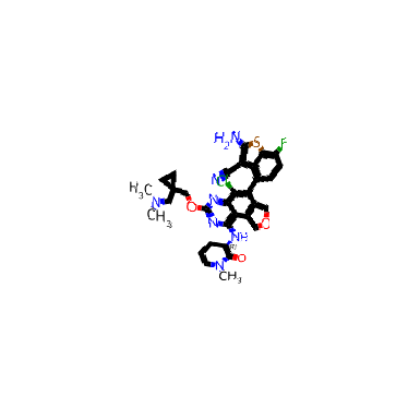 CN(C)CC1(COc2nc(N[C@@H]3CCCN(C)C3=O)c3c4c(c(-c5ccc(F)c6sc(N)c(C#N)c56)c(Cl)c3n2)COC4)CC1